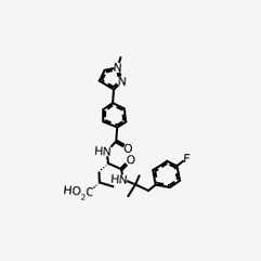 C[C@@H](C[C@H](NC(=O)c1ccc(-c2ccn(C)n2)cc1)C(=O)NC(C)(C)Cc1ccc(F)cc1)C(=O)O